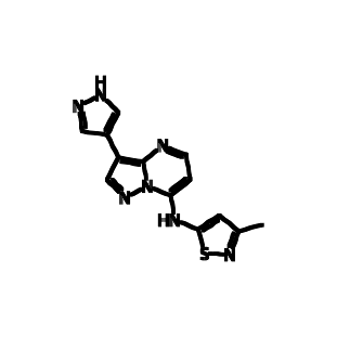 Cc1cc(Nc2ccnc3c(-c4cn[nH]c4)cnn23)sn1